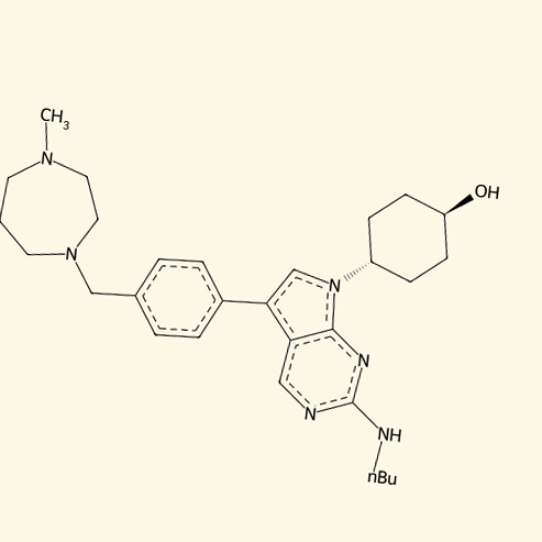 CCCCNc1ncc2c(-c3ccc(CN4CCCN(C)CC4)cc3)cn([C@H]3CC[C@H](O)CC3)c2n1